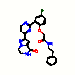 O=C(COc1ccc(Br)cc1-c1nccc(-c2cc3n(n2)CCNC3=O)n1)NCCc1ccccc1